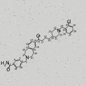 NC(=O)c1ccc(CN2CCc3ccc(C(=O)CCCC4CCN(Cc5ccccc5Cl)CC4)cc3CC2)cc1